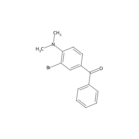 CN(C)c1ccc(C(=O)c2ccccc2)cc1Br